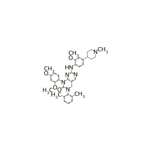 COc1ccc(N2C(=O)N(c3c(C)cccc3C)Cc3cnc(Nc4ccc(C5CCN(C)CC5)cc4OC)nc32)c(OC)c1